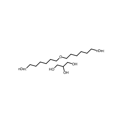 CCCCCCCCCCCCCCCCOCCCCCCCCCCCCCCCC.OCC(O)CO